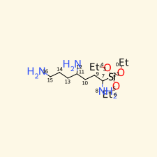 CCO[Si](OCC)(OCC)C(N)CCC(N)CCCN